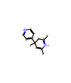 CC1=CC(C)(c2ccncc2)CC(C)=N1